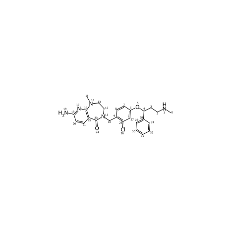 CNCCC(Oc1ccc(CN2CCN(C)c3nc(N)ccc3C2=O)c(Cl)c1)c1ccccc1